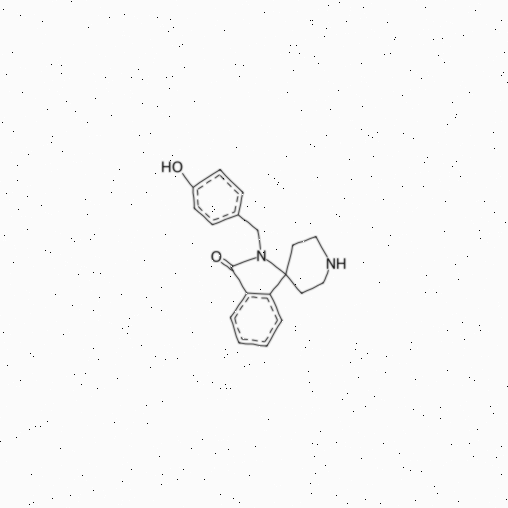 O=C1c2ccccc2C2(CCNCC2)N1Cc1ccc(O)cc1